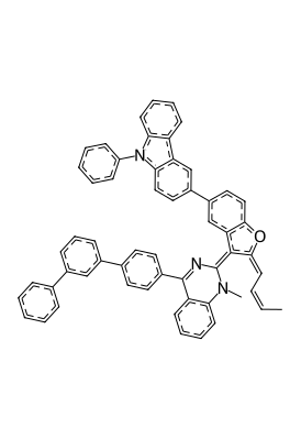 C\C=C/C=c1/oc2ccc(-c3ccc4c(c3)c3ccccc3n4-c3ccccc3)cc2/c1=C1\N=C(c2ccc(-c3cccc(-c4ccccc4)c3)cc2)c2ccccc2N1C